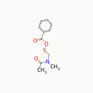 CC(=O)N(C)CSOC(=O)c1ccccc1